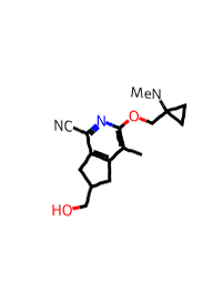 CNC1(COc2nc(C#N)c3c(c2C)CC(CO)C3)CC1